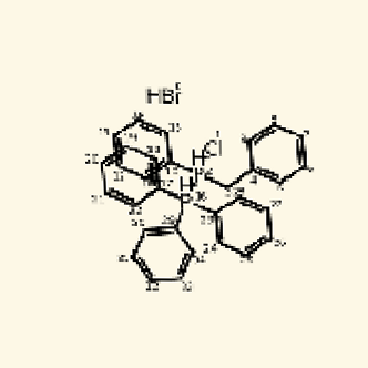 Br.Cl[PH](Cc1ccccc1)(c1ccccc1)[PH](c1ccccc1)(c1ccccc1)c1ccccc1